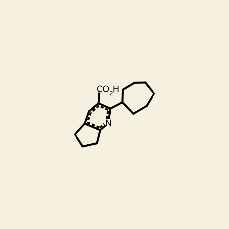 O=C(O)c1cc2c(nc1C1CCCCCC1)CCC2